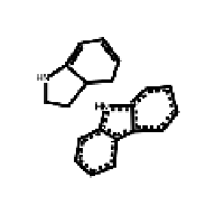 C1=CCC2CCNC2=C1.c1ccc2c(c1)[nH]c1ccccc12